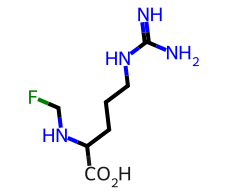 N=C(N)NCCCC(NCF)C(=O)O